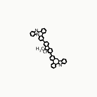 CC1(C)c2cc(-c3ccc4c(c3)CC3C(=Nc5ccccc53)c3ccccc3-4)ccc2-c2ccc(-c3ccc4c(c3)c3ccccc3c3nc5ccccc5n43)cc21